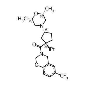 CC(C)[C@]1(C(=O)N2COc3ccc(C(F)(F)F)cc3C2)CC[C@@H](N2C[C@@H](C)O[C@@H](C)C2)C1